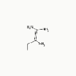 CCC(N)=C(N)N